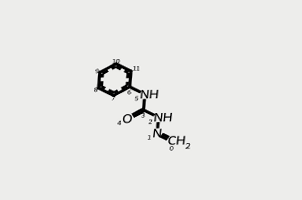 C=NNC(=O)Nc1ccccc1